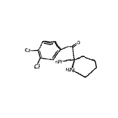 CCCC1(C(=O)c2ccc(Cl)c(Cl)c2)CCCCN1